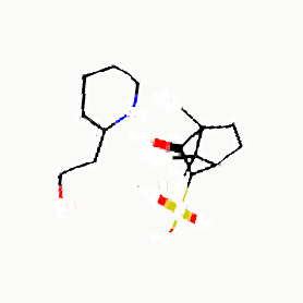 CC12CCC(C(S(=O)(=O)O)C1=O)C2(C)C.OCCC1CCCCN1